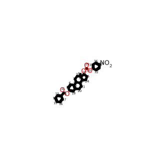 CC12CCC3c4ccc(OC(=O)c5ccccc5)cc4CCC3C1CCC2OC(=O)Oc1ccc([N+](=O)[O-])cc1